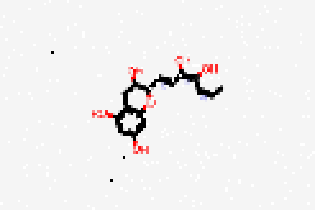 C\C=C/C(O)=C(O)\C=C\C1Oc2cc(O)cc(O)c2CC1O